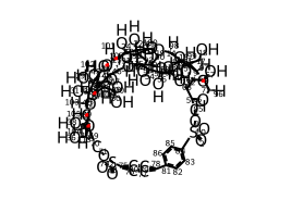 O=S1(=O)OC[C@@H]2O[C@@H]3O[C@@H]4C(O)C(O)[C@H](O[C@H]4CO)O[C@H]4C(O)C(O)[C@@H](O[C@@H]5C(O)C(O)[C@@H](C[C@H]6C(O)C(O)[C@@H](O[C@@H]7C(O)C(O)[C@H](O[C@H]7CO)O[C@H]7C(O)C(O)[C@H](O[C@H]7CO)O[C@@H]2C(O)C3O)O[C@@H]6COS(=O)(=O)c2ccc(cc2)-c2ccc1cc2)O[C@H]5CO)O[C@@H]4CO